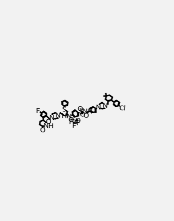 CC1(C)CCC(c2ccc(Cl)cc2)=C(CN2CCN(c3ccc(C(=O)NS(=O)(=O)c4ccc(N[C@H](CCN5CCN(Cc6ccc(F)cc6C6CCC(=O)NC6=O)CC5)CSc5ccccc5)c(S(=O)(=O)C(F)(F)F)c4)cc3)CC2)C1